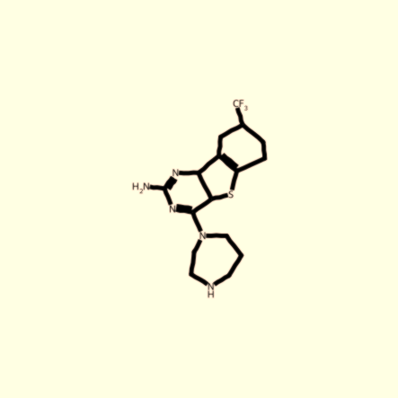 NC1=NC2C3=C(CCC(C(F)(F)F)C3)SC2C(N2CCCNCC2)=N1